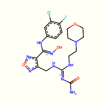 NC(=O)/N=C(\NCCN1CCOCC1)NCc1nonc1/C(=N/O)Nc1ccc(F)c(Cl)c1